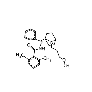 COCCCN1C2CCC1([C@H](NC(=O)c1c(C)cccc1C)c1ccccc1)CC2